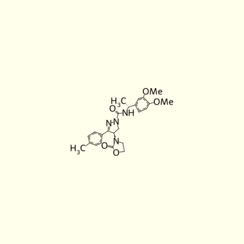 COc1ccc([C@@H](C)NC(=O)N2C[C@@H](N3CCOC3=O)C(c3ccc(C)cc3)=N2)cc1OC